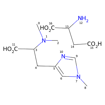 CN(C)C(Cc1cn(C)cn1)C(=O)O.NC(CC(=O)O)C(=O)O